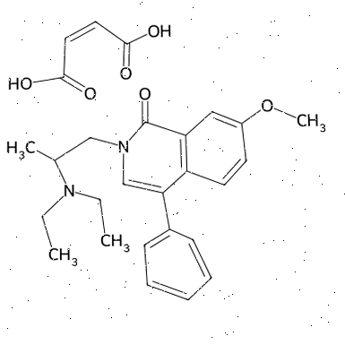 CCN(CC)C(C)Cn1cc(-c2ccccc2)c2ccc(OC)cc2c1=O.O=C(O)/C=C\C(=O)O